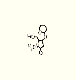 CN1C(=O)CC(OC2CCCCO2)C1CO